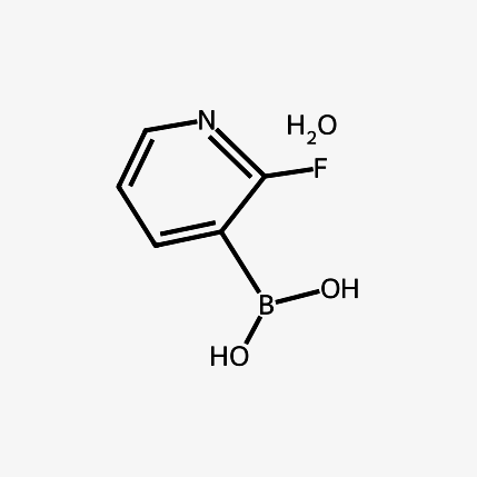 O.OB(O)c1cccnc1F